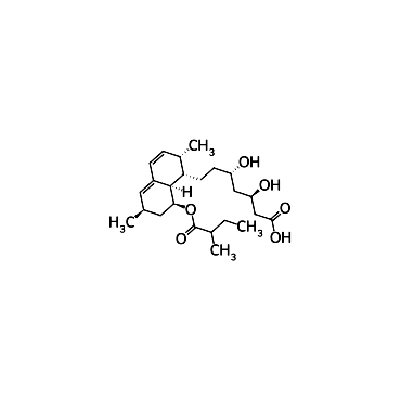 CCC(C)C(=O)O[C@H]1C[C@@H](C)C=C2C=C[C@H](C)[C@H](CC[C@H](O)C[C@@H](O)CC(=O)O)[C@H]21